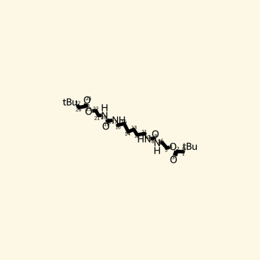 CC(C)(C)CC(=O)OCCNC(=O)NCCCCCCNC(=O)NCCOC(=O)CC(C)(C)C